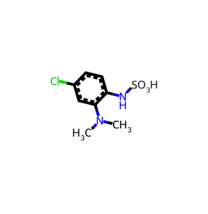 CN(C)c1cc(Cl)ccc1NS(=O)(=O)O